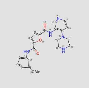 COc1cccc(NC(=O)c2ccc(C(=O)Nc3cnccc3N3CCNCC3)o2)c1